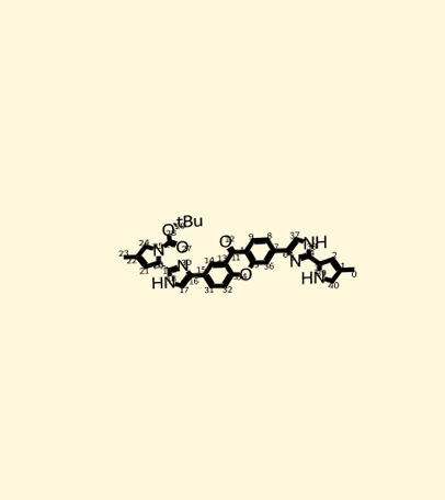 CC1=CC(c2nc(-c3ccc4c(=O)c5cc(-c6c[nH]c([C@@H]7C=C(C)CN7C(=O)OC(C)(C)C)n6)ccc5oc4c3)c[nH]2)NC1